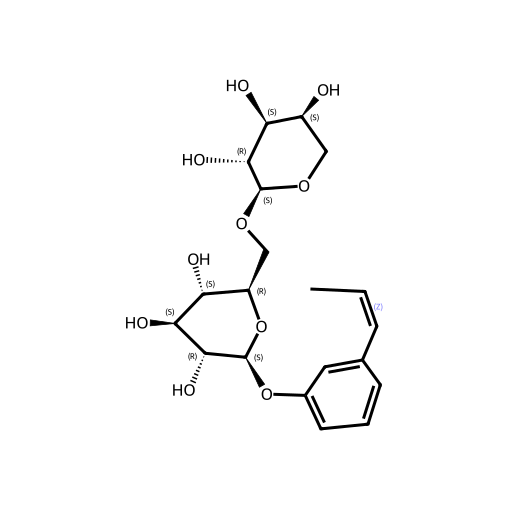 C/C=C\c1cccc(O[C@@H]2O[C@H](CO[C@@H]3OC[C@H](O)[C@H](O)[C@H]3O)[C@@H](O)[C@H](O)[C@H]2O)c1